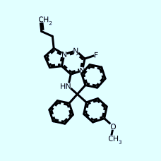 C=CCc1ccc2c(NC(c3ccccc3)(c3ccccc3)c3ccc(OC)cc3)nc(F)nn12